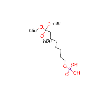 CCCCOC(CCCCCCCOP(=O)(O)O)(OCCCC)OCCCC